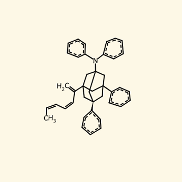 C=C(/C=C\C=C/C)C12CC3(c4ccccc4)CC(N(c4ccccc4)c4ccccc4)(C1)C[C@@](c1ccccc1)(C2)C3